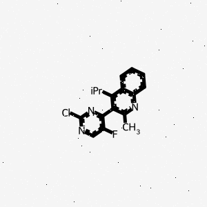 Cc1nc2ccccc2c(C(C)C)c1-c1nc(Cl)ncc1F